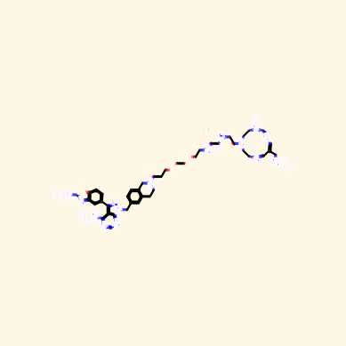 CN(CC(=O)NCCOCCOCCC(=O)N1CCc2cc(Cn3nc(-c4ccc5oc(N)nc5c4)c4c(N)ncnc43)ccc2C1)CC(=O)N1CC\N=C/C(CN)=C\N=C\NCC1